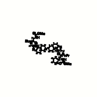 CCCN(Cc1nc2ccc3cc(-c4ccc5c(ccc6nc(CN(C(=O)CNC(=O)OC)[C@@H](C)CC)[nH]c65)c4)ccc3c2[nH]1)C(=O)[C@H](NC(=O)OC)c1ccccc1